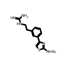 CC(=O)Nc1nc(-c2cccc(CCNC(=N)N)c2)cs1